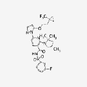 C[C@@H]1CN(c2nc(-n3nccc3OCCC3(C(F)(F)F)CC3)ccc2C(=O)NS(=O)(=O)c2cccc(F)c2)C(C)(C)C1